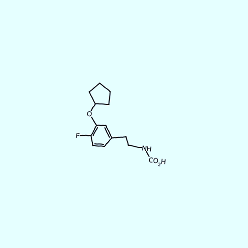 O=C(O)NCCc1ccc(F)c(OC2CCCC2)c1